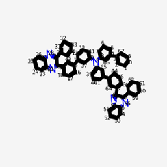 c1ccc(-c2cccc(N(c3cccc(-c4cccc(-c5nc6ccccc6nc5-c5ccccc5)c4)c3)c3cccc(-c4cccc(-c5nc6ccccc6nc5-c5ccccc5)c4)c3)c2)cc1